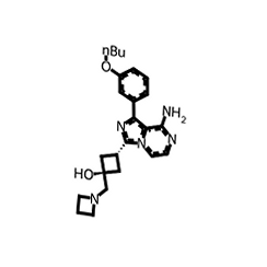 CCCCOc1cccc(-c2nc([C@H]3C[C@@](O)(CN4CCC4)C3)n3ccnc(N)c23)c1